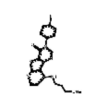 COCCCNc1ccnc2sc3c(=O)n(-c4ccc(F)cc4)cnc3c12